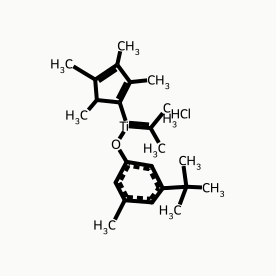 CC1=C(C)C(C)[C]([Ti]([O]c2cc(C)cc(C(C)(C)C)c2)=[C](C)C)=C1C.Cl